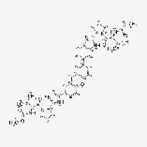 COC(=O)N[C@H](C(=O)N1CCC[C@H]1c1ncc(-c2ccc3c(c2)Cc2cc(-c4ccc5nc([C@@H]6CCCN6C(=O)[C@@H](NC(=O)OC)C(C)C)[nH]c5c4)ccc2O3)[nH]1)C(C)C